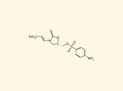 CCOC(=O)/C=C/N1C[C@@H](COS(=O)(=O)c2ccc([N+](=O)[O-])cc2)OC1=O